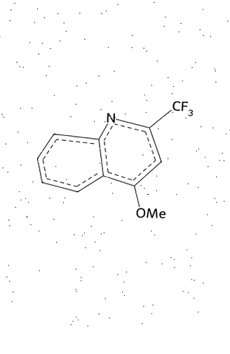 [CH2]Oc1cc(C(F)(F)F)nc2ccccc12